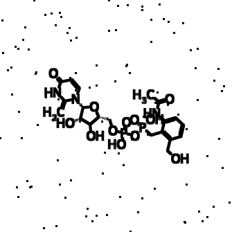 C=C1NC(=O)C=CN1[C@@H]1O[C@H](COP(=O)(O)OP(=O)(O)Cc2c(CO)cccc2NC(C)=O)C(O)[C@@H]1O